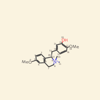 COc1ccc2c(c1)CC[N+](C)(C)[C@@H]2Cc1ccc(OC)c(O)c1